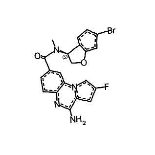 CN(C(=O)c1ccc2nc(N)c3cc(F)cn3c2c1)[C@@H]1COc2cc(Br)ccc21